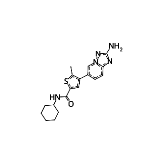 Cc1sc(C(=O)NC2CCCCC2)cc1-c1ccc2nc(N)nn2c1